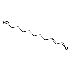 O=CC=CCCCCCCCO